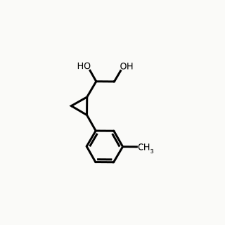 Cc1cccc(C2CC2C(O)CO)c1